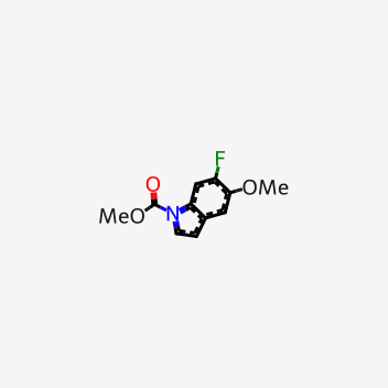 COC(=O)n1ccc2cc(OC)c(F)cc21